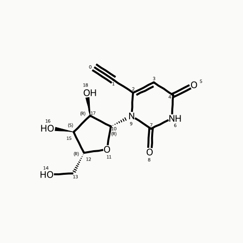 C#Cc1cc(=O)[nH]c(=O)n1[C@@H]1O[C@H](CO)[C@@H](O)[C@H]1O